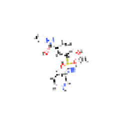 CNC(=O)c1ccc(OC)c(S(=O)(=O)Nc2cccnc2)c1